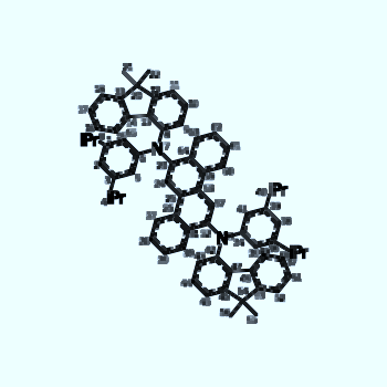 CC(C)c1cc(C(C)C)cc(N(c2cccc3c2-c2ccccc2C3(C)C)c2cc3c4ccccc4c(N(c4cc(C(C)C)cc(C(C)C)c4)c4cccc5c4-c4ccccc4C5(C)C)cc3c3ccccc23)c1